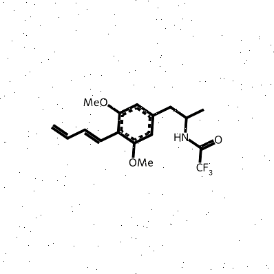 C=CC=Cc1c(OC)cc(CC(C)NC(=O)C(F)(F)F)cc1OC